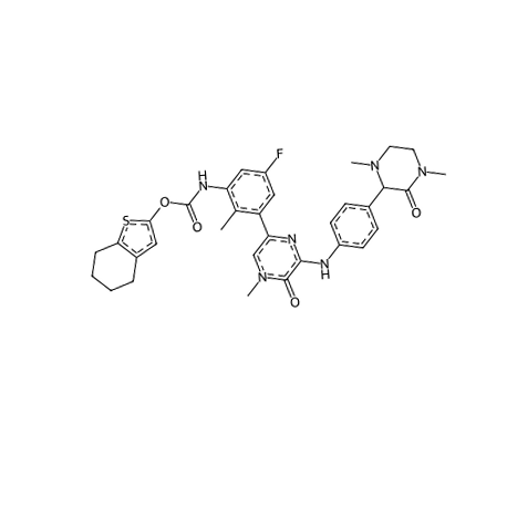 Cc1c(NC(=O)Oc2cc3c(s2)CCCC3)cc(F)cc1-c1cn(C)c(=O)c(Nc2ccc(C3C(=O)N(C)CCN3C)cc2)n1